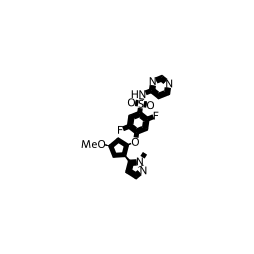 CO[C@@H]1C[C@H](Oc2cc(F)c(S(=O)(=O)Nc3ccncn3)cc2F)[C@@H](c2ccnn2C)C1